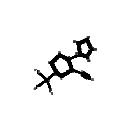 N#Cc1cc(C(F)(F)F)ccc1-n1ncnn1